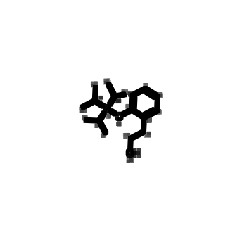 CC(C)[Si](Oc1ccccc1CCO)(C(C)C)C(C)C